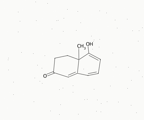 CC12CCC(=O)C=C1C=CC=C2O